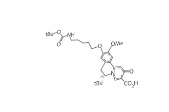 COc1cc2c(cc1OCCCCCNC(=O)OC(C)(C)C)C[C@@H](C(C)(C)C)n1cc(C(=O)O)c(=O)cc1-2